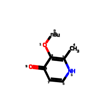 CCCCOc1c(C)[nH]ccc1=O